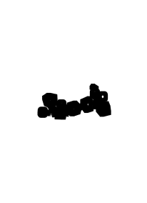 CCOC(=O)C(c1ccccc1)N1CCC(c2ccc(-n3ccn([C@H](COC)c4ccccc4)c3=O)cc2)CC1